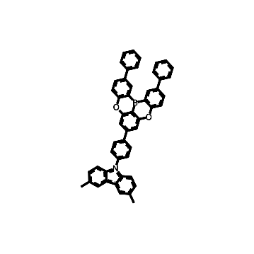 Cc1ccc2c(c1)c1cc(C)ccc1n2-c1ccc(-c2cc3c4c(c2)Oc2ccc(-c5ccccc5)cc2B4c2cc(-c4ccccc4)ccc2O3)cc1